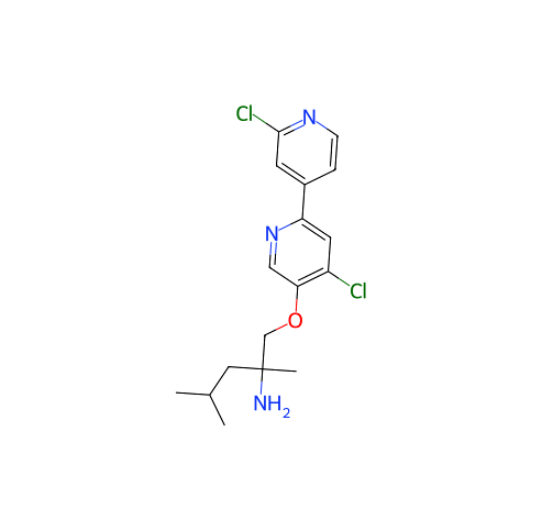 CC(C)CC(C)(N)COc1cnc(-c2ccnc(Cl)c2)cc1Cl